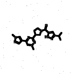 Cc1cc(-c2cnn(C)c2)nc(C2CCN(C(=O)c3cc(C(C)C)n[nH]3)C2)n1